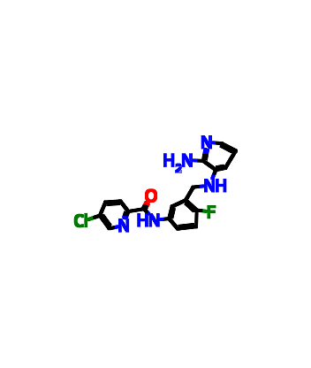 Nc1ncccc1NCc1cc(NC(=O)c2ccc(Cl)cn2)ccc1F